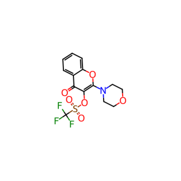 O=c1c(OS(=O)(=O)C(F)(F)F)c(N2CCOCC2)oc2ccccc12